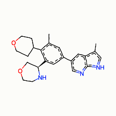 Cc1cc(-c2cnc3[nH]cc(C)c3c2)cc([C@@H]2COCCN2)c1C1CCOCC1